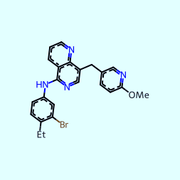 CCc1ccc(Nc2ncc(Cc3ccc(OC)nc3)c3ncccc23)cc1Br